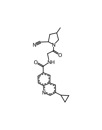 CC1CC(C#N)N(C(=O)CNC(=O)c2ccc3ncc(C4CC4)cc3c2)C1